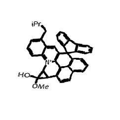 COC1(O)C2c3ccc4cccc5c4c3-c3c(cc4c(CC(C)C)cccc4[n+]3C21)C51c2ccccc2-c2ccccc21